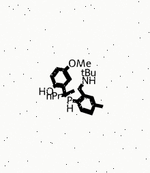 CCCC(C)(Pc1ccc(C)cc1CNC(C)(C)C)c1cc(OC)ccc1O